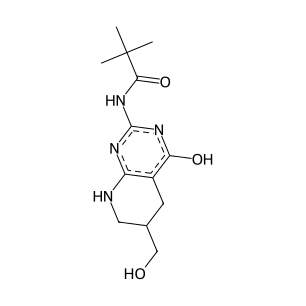 CC(C)(C)C(=O)Nc1nc(O)c2c(n1)NCC(CO)C2